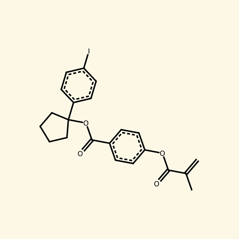 C=C(C)C(=O)Oc1ccc(C(=O)OC2(c3ccc(I)cc3)CCCC2)cc1